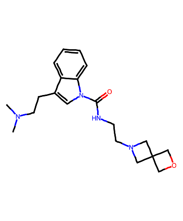 CN(C)CCc1cn(C(=O)NCCN2CC3(COC3)C2)c2ccccc12